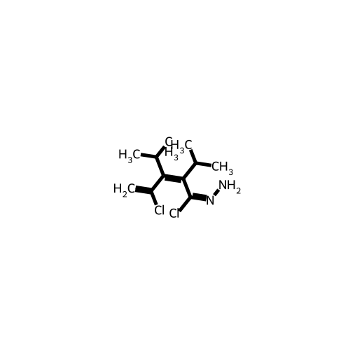 C=C(Cl)/C(=C(\C(Cl)=N/N)C(C)C)C(C)C